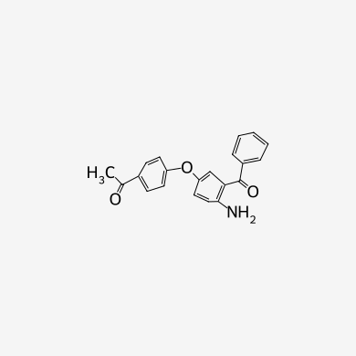 CC(=O)c1ccc(Oc2ccc(N)c(C(=O)c3ccccc3)c2)cc1